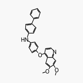 COc1cc2nccc(Oc3ccc(Nc4ccc(-c5ccccc5)cc4)cc3)c2cc1OC